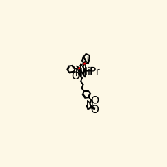 Cc1nnc(C(C)C)n1C1CC2CCC(C1)N2CC[C@H](NC(=O)CCCCc1ccc(C(=O)N2CCC2=O)cc1)c1ccccc1